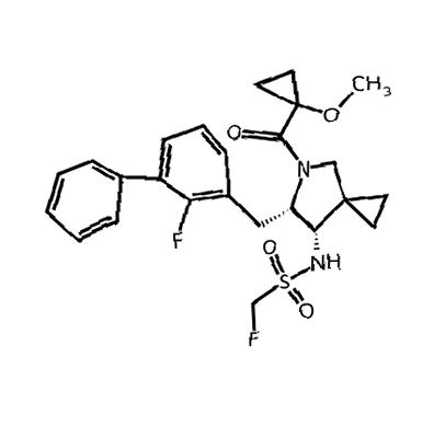 COC1(C(=O)N2CC3(CC3)[C@H](NS(=O)(=O)CF)[C@@H]2Cc2cccc(-c3ccccc3)c2F)CC1